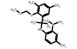 COCOc1c(C)cc(C)cc1C(C)(C)Pc1ccc(C)cc1N(C)C